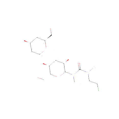 CCCCCCN(C(=O)N(CCCl)N=O)C1O[C@H](CO)[C@@H](O[C@H]2O[C@H](CO)[C@@H](O)[C@H](O)[C@H]2O)[C@H](O)[C@H]1O